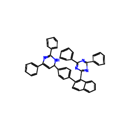 C1=C(c2ccccc2)N=C(c2ccccc2)NC1c1ccc(-c2ccc3ccccc3c2-c2nc(-c3ccccc3)nc(-c3ccccc3)n2)cc1